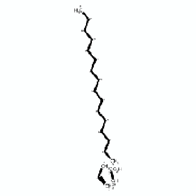 C=CC.CCCCCCCCCCCCCCCC.O=C(O)O